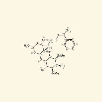 CN[C@@H]1[C@H](O)[C@H](NC)C2O[C@]3(O)C(OC2[C@H]1O)O[C@H](C)C[C@@]3(O)CNCCC(C)c1ccccc1